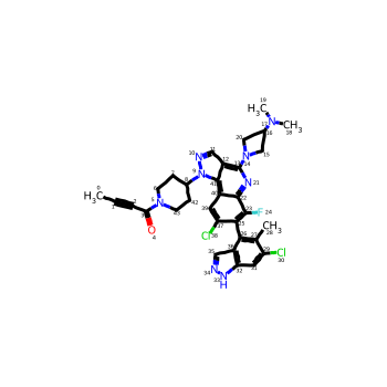 CC#CC(=O)N1CCC(n2ncc3c(N4CC(N(C)C)C4)nc4c(F)c(-c5c(C)c(Cl)cc6[nH]ncc56)c(Cl)cc4c32)CC1